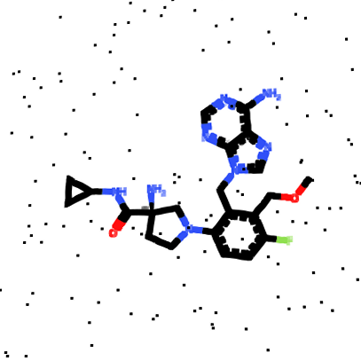 COCc1c(F)ccc(N2CC[C@](N)(C(=O)NC3CC3)C2)c1Cn1cnc2c(N)ncnc21